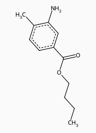 CCCCOC(=O)c1ccc(C)c(N)c1